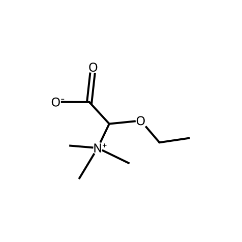 CCOC(C(=O)[O-])[N+](C)(C)C